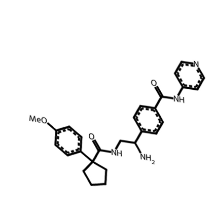 COc1ccc(C2(C(=O)NCC(N)c3ccc(C(=O)Nc4ccncc4)cc3)CCCC2)cc1